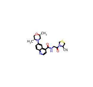 C[C@@H]1CN(c2ccc3nccc(C(=O)NCC(=O)N4CSCC4C#N)c3c2)[C@H](C)CO1